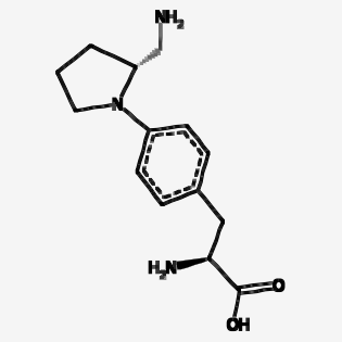 NC[C@H]1CCCN1c1ccc(C[C@H](N)C(=O)O)cc1